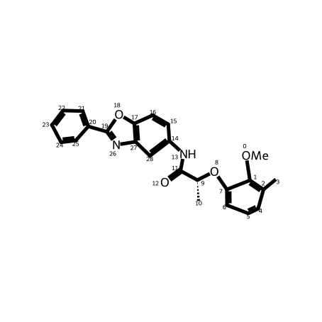 COc1c(C)cccc1O[C@H](C)C(=O)Nc1ccc2oc(-c3ccccc3)nc2c1